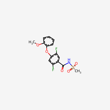 COc1ccccc1Oc1cc(F)c(C(=O)NS(C)(=O)=O)cc1F